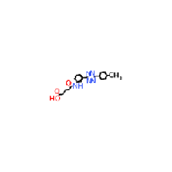 Cc1ccc(-c2nnc(-c3cccc(NC(=O)CCCC(=O)O)c3)nn2)cc1